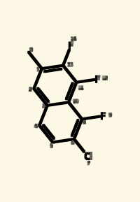 Cc1cc2ccc(Cl)c(F)c2c(F)c1F